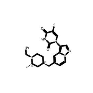 CC(C)CN1CC[C@@H](Cc2ccn3ncc(-n4cc(F)c(=O)[nH]c4=O)c3c2)C[C@@H]1C